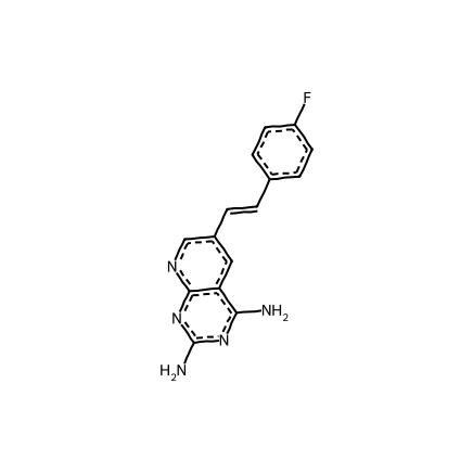 Nc1nc(N)c2cc(C=Cc3ccc(F)cc3)cnc2n1